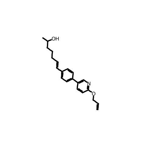 C=CCOc1ccc(-c2ccc(C=CCCCC(C)O)cc2)cn1